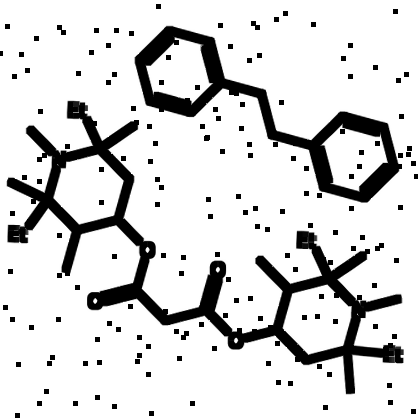 CCC1(C)CC(OC(=O)CC(=O)OC2CC(C)(CC)N(C)C(C)(CC)C2C)C(C)C(C)(CC)N1C.c1ccc(CCc2ccccc2)cc1